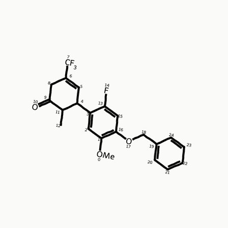 COc1cc(C2C=C(C(F)(F)F)CC(=O)C2C)c(F)cc1OCc1ccccc1